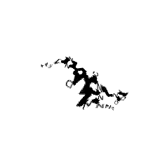 CNc1ncc2cc(-c3ccc(-c4cncc(C)n4)cc3Cl)c(=O)n(CCN3CCOC3=O)c2n1